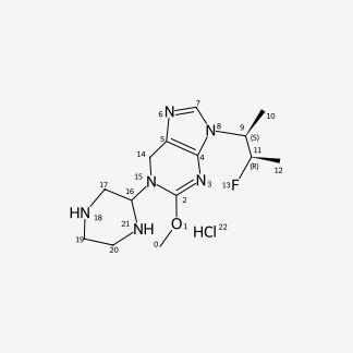 COC1=Nc2c(ncn2[C@@H](C)[C@@H](C)F)CN1C1CNCCN1.Cl